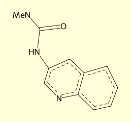 CNC(=O)Nc1cnc2ccccc2c1